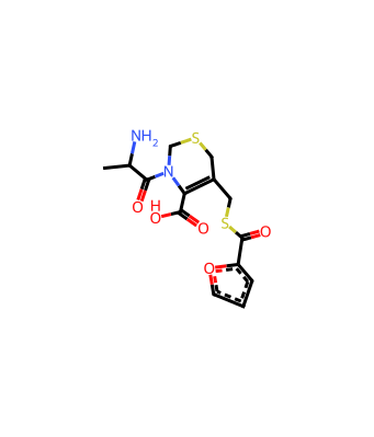 CC(N)C(=O)N1CSCC(CSC(=O)c2ccco2)=C1C(=O)O